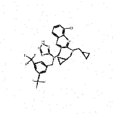 FC(F)(F)c1cc(CN(Cc2cc3cccc(Cl)c3nc2N(CC2CC2)CC2CC2)c2nn[nH]n2)cc(C(F)(F)F)c1